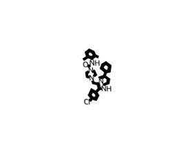 Cc1cccc(C)c1NC(=O)N1CCN(CC2=C(c3ccc(Cl)cc3)NC3C=CC(c4ccccc4)=CN23)CC1